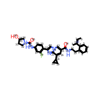 C/C=C(/C)c1ccccc1CCNC(=O)c1cc(C2CC2)c2nc(-c3ccc(NC(=O)N4CC[C@@H](O)C4)cc3F)cn2c1